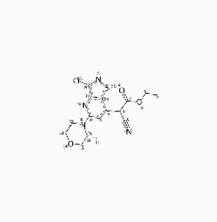 CCOC(=O)C(C#N)c1cc(N2CCOC[C@H]2C)nc2c(Cl)nsc12